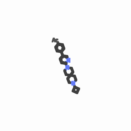 CC(=O)c1ccc(-c2ccc(N3CCC4(CC3)CCN(C3CCC3)CC4)nc2)cc1